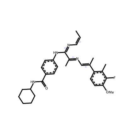 C\C=C/N=C(Nc1ccc(C(=O)NC2CCCCC2)cc1)\C(C)=N\C=C(/C)c1ccc(OC)c(F)c1C